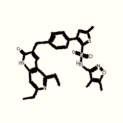 CCc1cc2[nH]c(=O)c(Cc3ccc(-c4cc(C)sc4S(=O)(=O)Nc4noc(C)c4C)cc3)cc2c(CC)n1